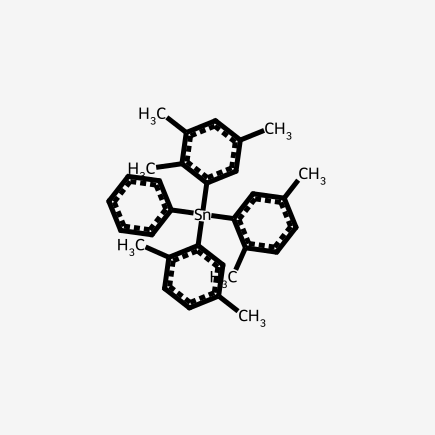 Cc1ccc(C)[c]([Sn]([c]2ccccc2)([c]2cc(C)ccc2C)[c]2cc(C)cc(C)c2C)c1